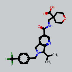 CC(C)C1c2ncc(C(=O)NCC3(C(=O)O)CCOCC3)cc2CN1Cc1ccc(C(F)(F)F)cc1